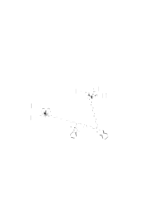 CCO[Si](CCCCCCCCCCC(CSSSSCC(CCCCCCCCCC[Si](OCC)(OCC)OCC)c1nc2ccccc2s1)c1nc2ccccc2s1)(OCC)OCC